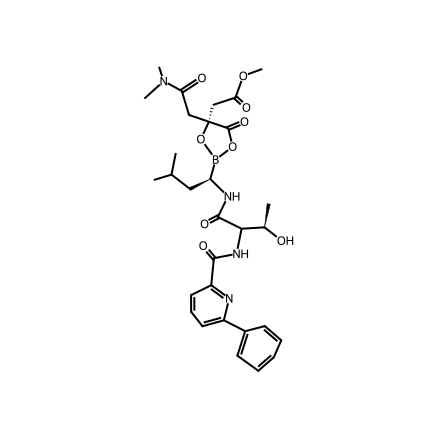 COC(=O)C[C@@]1(CC(=O)N(C)C)OB([C@H](CC(C)C)NC(=O)C(NC(=O)c2cccc(-c3ccccc3)n2)[C@@H](C)O)OC1=O